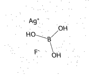 OB(O)O.[Ag+].[F-]